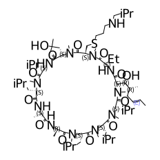 C/C=C/C[C@@H](C)[C@@H](O)[C@H]1C(=O)N[C@@H](CC)C(=O)N(C)[C@H](CSCCCNCC(C)C)C(=O)N(C)[C@@H](CC(C)(C)O)C(=O)N[C@@H](C(C)C)C(=O)N(C)[C@@H](CC(C)C)C(=O)N[C@@H](C)C(=O)N[C@H](C)C(=O)N(C)[C@@H](CC(C)C)C(=O)N(C)[C@@H](CC(C)C)C(=O)N(C)[C@@H](C(C)C)C(=O)N1C